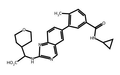 Cc1ccc(C(=O)NC2CC2)cc1-c1ccc2nc(NC(C(=O)O)C3CCOCC3)ncc2c1